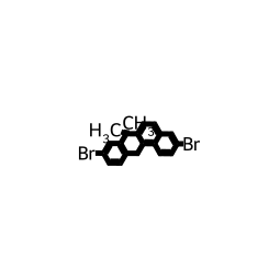 CC1(C)c2cc(Br)ccc2Cc2c1ccc1cc(Br)ccc21